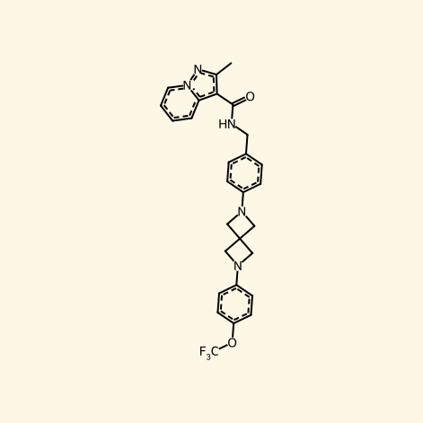 Cc1nn2ccccc2c1C(=O)NCc1ccc(N2CC3(C2)CN(c2ccc(OC(F)(F)F)cc2)C3)cc1